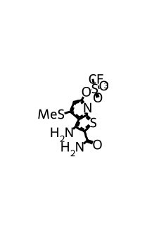 CSc1cc(OS(=O)(=O)C(F)(F)F)nc2sc(C(N)=O)c(N)c12